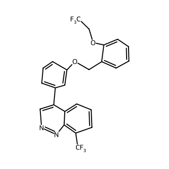 FC(F)(F)COc1ccccc1COc1cccc(-c2cnnc3c(C(F)(F)F)cccc23)c1